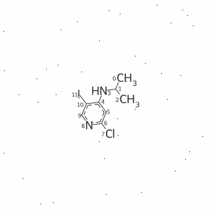 CC(C)Nc1cc(Cl)ncc1I